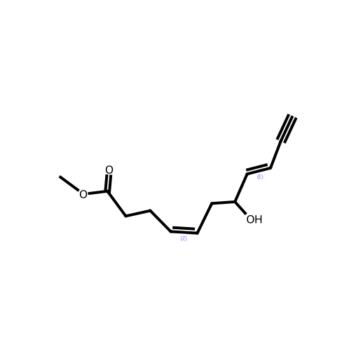 C#C/C=C/C(O)C/C=C\CCC(=O)OC